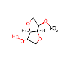 O=[N+]([O-])O[C@@H]1CO[C@H]2[C@@H]1OC[C@@H]2OO